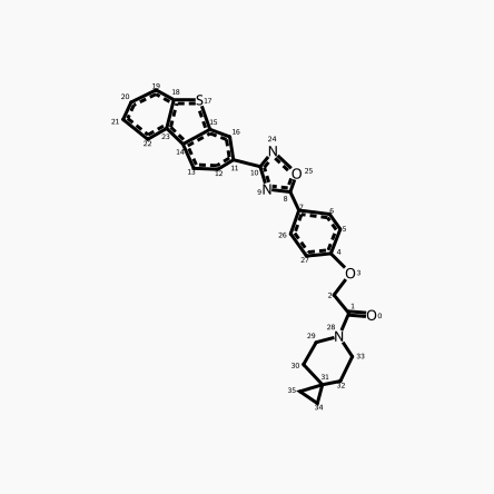 O=C(COc1ccc(-c2nc(-c3ccc4c(c3)sc3ccccc34)no2)cc1)N1CCC2(CC1)CC2